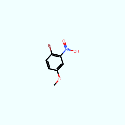 COc1ccc(Br)c([N+](=O)O)c1